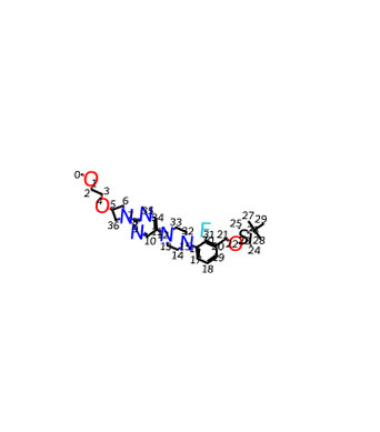 COCCOC1CN(c2ncc(N3CCN(c4cccc(CO[Si](C)(C)C(C)(C)C)c4F)CC3)cn2)C1